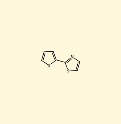 [c]1csc(-c2nccs2)c1